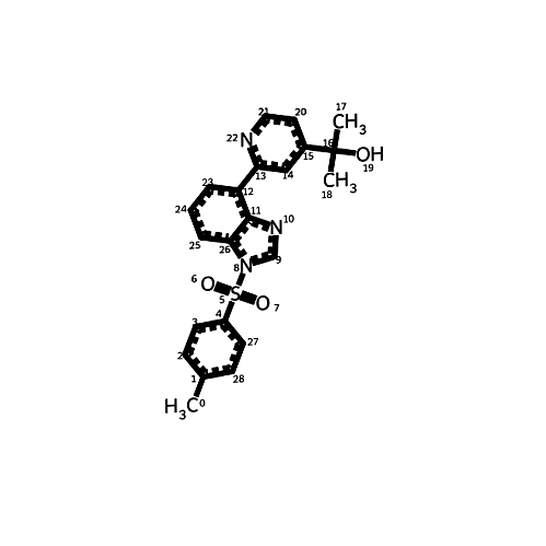 Cc1ccc(S(=O)(=O)n2cnc3c(-c4cc(C(C)(C)O)ccn4)cccc32)cc1